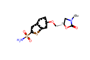 CC(C)(C)N1C[C@@H](COc2ccc3cc(S(N)(=O)=O)sc3c2)OC1=O